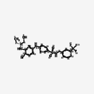 CC[C@H](CO)Nc1nc(Nc2ccc(S(=O)(=O)NCc3cccc(C(F)(F)F)c3)cc2)ncc1Br